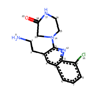 NCCc1cc2cccc(Cl)c2nc1N1CCNC(=O)C1